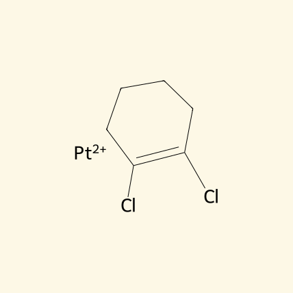 ClC1=C(Cl)CCCC1.[Pt+2]